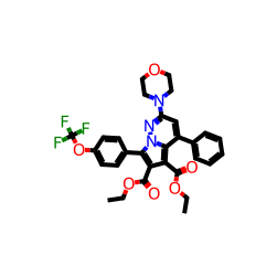 CCOC(=O)c1c(C(=O)OCC)c2c(-c3ccccc3)cc(N3CCOCC3)nn2c1-c1ccc(OC(F)(F)F)cc1